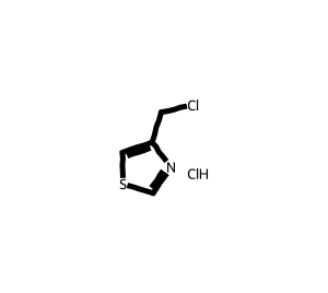 Cl.ClCc1cscn1